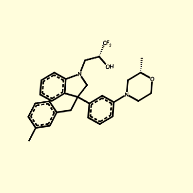 Cc1cccc(CC2(c3cccc(N4CCO[C@@H](C)C4)c3)CN(C[C@@H](O)C(F)(F)F)c3ccccc32)c1